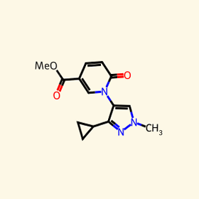 COC(=O)c1ccc(=O)n(-c2cn(C)nc2C2CC2)c1